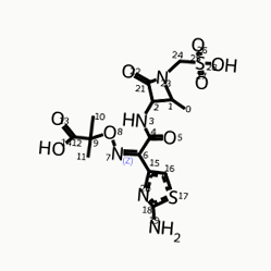 CC1C(NC(=O)/C(=N\OC(C)(C)C(=O)O)c2csc(N)n2)C(=O)N1CS(=O)(=O)O